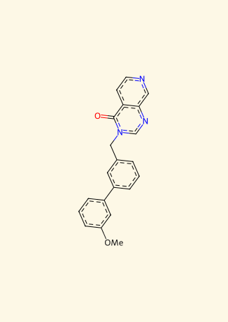 COc1cccc(-c2cccc(Cn3cnc4cnccc4c3=O)c2)c1